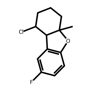 CC12CCCC(Cl)C1c1cc(F)ccc1O2